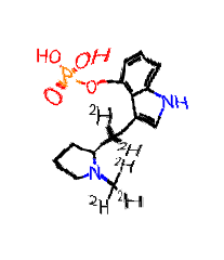 [2H]C([2H])(c1c[nH]c2cccc(OP(=O)(O)O)c12)[C@@H]1CCCN1C([2H])([2H])[2H]